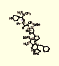 CC[C@H](C)[C@@H]([C@@H](CC(=O)N1CCC[C@H]1[C@H](OC)[C@@H](C)C(=O)N[C@@H](Cc1ccccc1)c1nnn[nH]1)OC)N(C)C(=O)[C@@H](/N=C(/N(C)C)N1CCNCC1)C(C)C